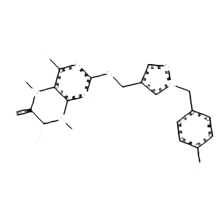 Cc1nc(NCc2cnn(Cc3ccc(F)cc3)c2)nc2c1N(C)C(=O)[C@@H](C)N2C